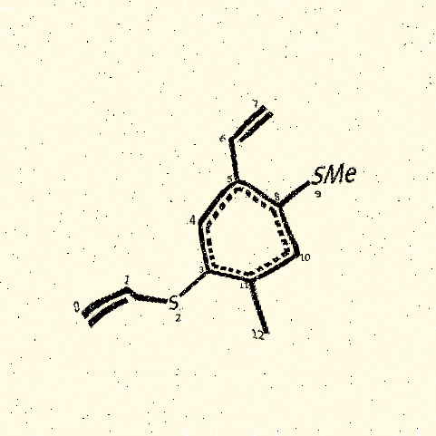 C=CSc1cc(C=C)c(SC)cc1C